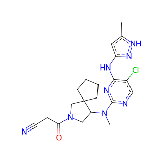 Cc1cc(Nc2nc(N(C)C3CN(C(=O)CC#N)CC34CCCC4)ncc2Cl)n[nH]1